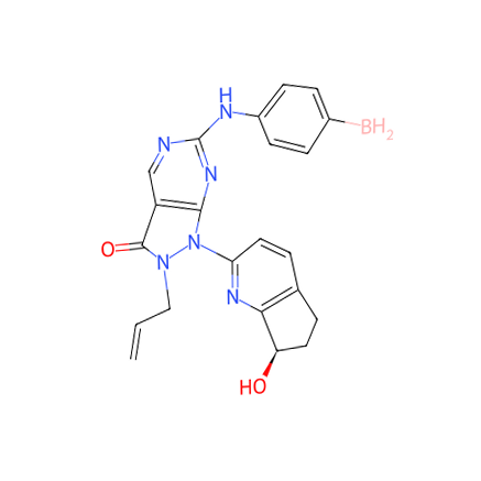 Bc1ccc(Nc2ncc3c(=O)n(CC=C)n(-c4ccc5c(n4)[C@H](O)CC5)c3n2)cc1